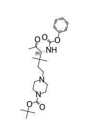 CC(=O)[C@H](NC(=O)Oc1ccccc1)C(C)(C)CCN1CCN(C(=O)OC(C)(C)C)CC1